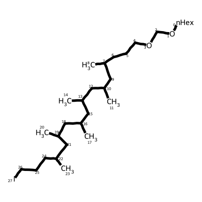 CCCCCCOCOCCCC(C)CC(C)CC(C)CC(C)CC(C)CC(C)CCCI